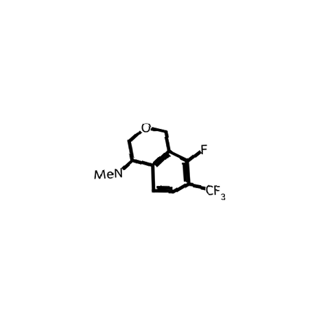 CNC1COCc2c1ccc(C(F)(F)F)c2F